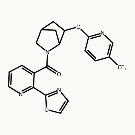 O=C(c1cccnc1-c1ncco1)N1CC2CC(Oc3ccc(C(F)(F)F)cn3)C1C2